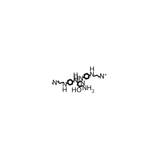 C[N+](C)(C)CCCNc1ccc(Nc2cc(O)c(N)nc2Nc2ccc(NCCC[N+](C)(C)C)cc2)cc1